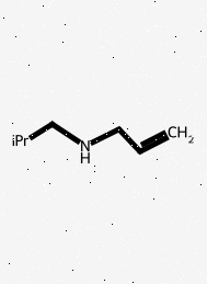 C=CCN[CH]C(C)C